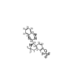 CC1(C)Cc2cc(OC(F)(F)F)ccc2C(c2nnc3ccccc3n2)=N1